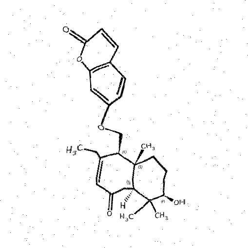 CC1=CC(=O)[C@@H]2C(C)(C)[C@H](O)CC[C@@]2(C)[C@@H]1COc1ccc2ccc(=O)oc2c1